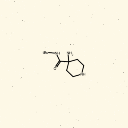 CC(C)(C)NC(=O)C1(N)CCNCC1